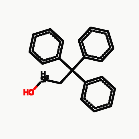 O[SiH2]CC(c1ccccc1)(c1ccccc1)c1ccccc1